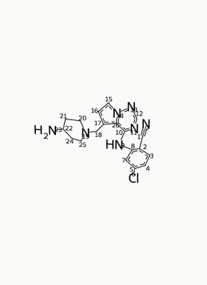 N#Cc1ccc(Cl)cc1Nc1ncnn2ccc(CN3CCC(N)CC3)c12